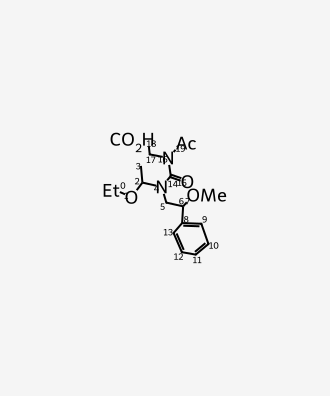 CCOC(C)N(CC(OC)c1ccccc1)C(=O)N(CC(=O)O)C(C)=O